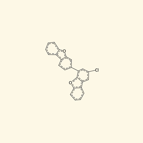 Clc1cc(-c2ccc3c(c2)oc2ccccc23)c2oc3ccccc3c2c1